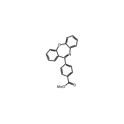 COC(=O)c1ccc(C2=Nc3ccccc3Oc3ccccc32)cc1